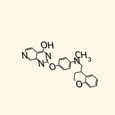 CN(CC1CCOc2ccccc21)c1ccc(Oc2nc(O)c3ccncc3n2)cc1